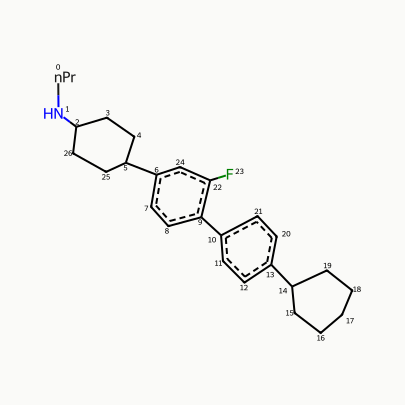 CCCNC1CCC(c2ccc(-c3ccc(C4CCCCC4)cc3)c(F)c2)CC1